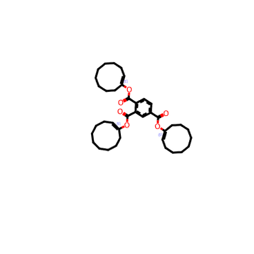 O=C(O/C1=C/CCCCCCCC1)c1ccc(C(=O)O/C2=C/CCCCCCCC2)c(C(=O)O/C2=C/CCCCCCCC2)c1